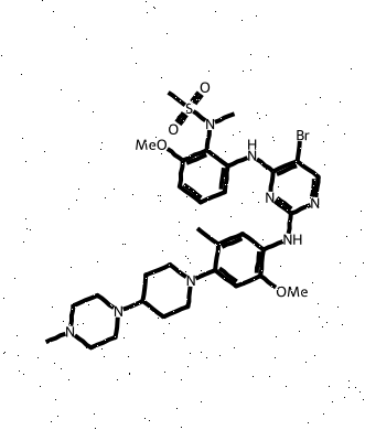 COc1cc(N2CCC(N3CCN(C)CC3)CC2)c(C)cc1Nc1ncc(Br)c(Nc2cccc(OC)c2N(C)S(C)(=O)=O)n1